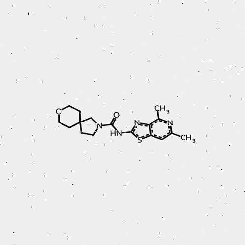 Cc1cc2sc(NC(=O)N3CCC4(CCOCC4)C3)nc2c(C)n1